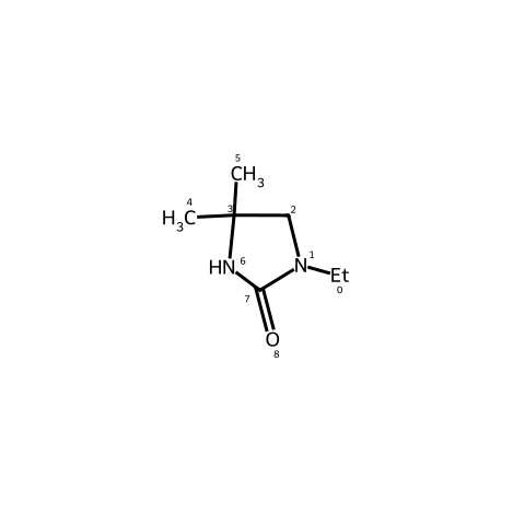 CCN1CC(C)(C)NC1=O